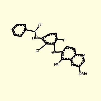 COc1cnc2ccc(Nc3c(F)ccc(N[S+]([O-])c4ccccc4)c3Cl)c(C#N)c2n1